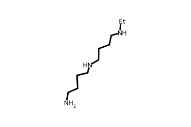 CCNCCCCNCCCCN